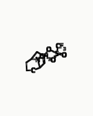 CN1C2C=C(OS(=O)(=O)C(F)(F)F)CC1CCC2